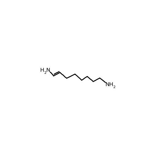 NC=CCCCCCCN